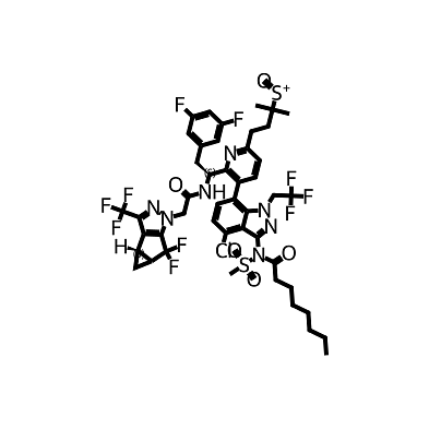 CCCCCCCC(=O)N(c1nn(CC(F)(F)F)c2c(-c3ccc(CCC(C)(C)[S+]=O)nc3[C@H](Cc3cc(F)cc(F)c3)NC(=O)Cn3nc(C(F)(F)F)c4c3C(F)(F)C3C[C@H]43)ccc(Cl)c12)S(C)(=O)=O